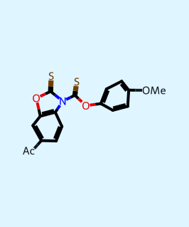 COc1ccc(OC(=S)n2c(=S)oc3cc(C(C)=O)ccc32)cc1